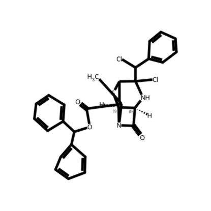 CC1=C(C(=O)OC(c2ccccc2)c2ccccc2)N2C(=O)[C@@H]3NC(Cl)(C(Cl)c4ccccc4)C1S[C@@H]32